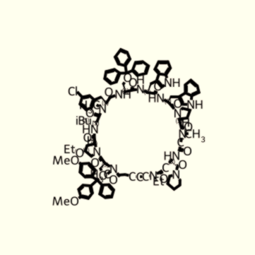 CCO[C@@H]1C[C@H]2C(=O)N[C@@H]([C@@H](C)CC)C(=O)N(C)[C@@H](Cc3cccc(Cl)c3)C(=O)N[C@@H](COC(c3ccccc3)(c3ccccc3)c3ccccc3)C(=O)N[C@@H](Cc3c[nH]c4ccccc34)C(=O)N[C@@H](Cc3c[nH]c4ccccc34)C(=O)N3CCC[C@H]3C(=O)N(C)CC(=O)N[C@H](C(=O)N3CCCCC3)CC(=O)N(CC)CCCCC(=O)N(C)[C@@H](COC(c3ccccc3)(c3ccc(OC)cc3)c3ccc(OC)cc3)C(=O)N2C1